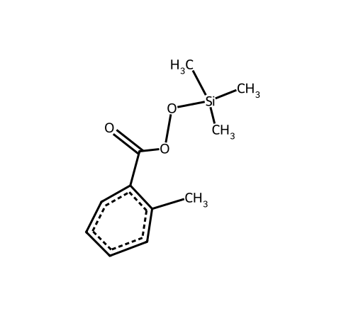 Cc1ccccc1C(=O)OO[Si](C)(C)C